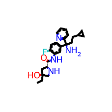 CCC1(O)CN[C@@H](C(=O)Nc2cc(C(N)(CCC3CC3)c3ccccn3)ccc2F)C1